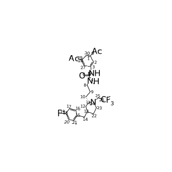 CC(=O)c1cc(NC(=O)NCCC[C@H]2CC(Cc3ccc(F)cc3)CCN2CC(F)(F)F)cc(C(C)=O)c1